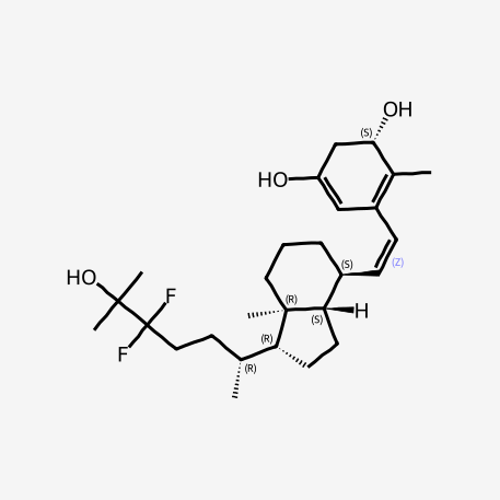 CC1=C(/C=C\[C@@H]2CCC[C@]3(C)[C@@H]([C@H](C)CCC(F)(F)C(C)(C)O)CC[C@@H]23)C=C(O)C[C@@H]1O